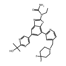 CCN(C(N)=O)c1nc2cc(-c3cnc(C(C)(C)O)nc3)cc(-c3cc(CN4CCC(F)(F)CC4)ccn3)c2s1